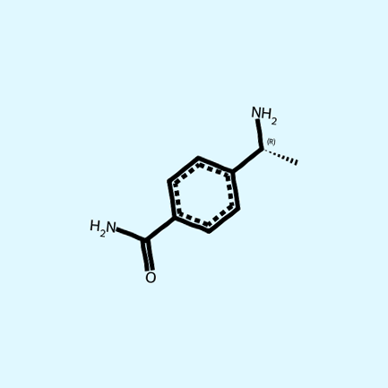 C[C@@H](N)c1ccc(C(N)=O)cc1